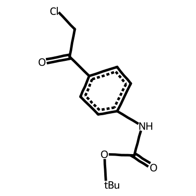 CC(C)(C)OC(=O)Nc1ccc(C(=O)CCl)cc1